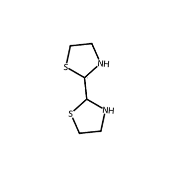 C1CS[C](C2NCCS2)N1